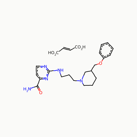 NC(=O)c1ccnc(NCCCN2CCCC(COc3ccccc3)C2)n1.O=C(O)C=CC(=O)O